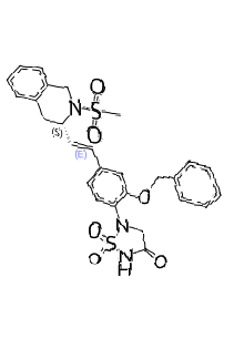 CS(=O)(=O)N1Cc2ccccc2C[C@H]1/C=C/c1ccc(N2CC(=O)NS2(=O)=O)c(OCc2ccccc2)c1